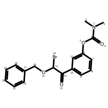 CN(C)C(=O)Oc1cccc(C(=O)C(Br)OCc2ccccc2)c1